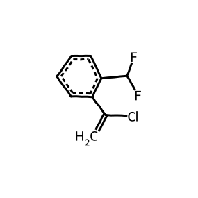 C=C(Cl)c1ccccc1C(F)F